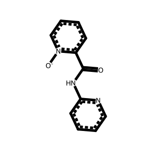 O=C(Nc1ccccn1)c1cccc[n+]1[O-]